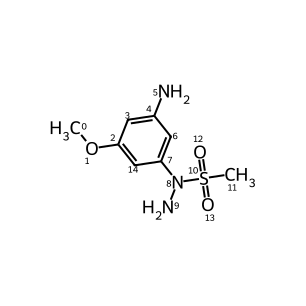 COc1cc(N)cc(N(N)S(C)(=O)=O)c1